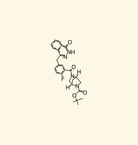 CC(C)(C)OC(=O)N1C[C@@H]2C[C@H]1CN2C(=O)c1cc(Cc2n[nH]c(=O)c3ccccc23)ccc1F